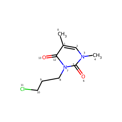 Cc1cn(C)c(=O)n(CCCCl)c1=O